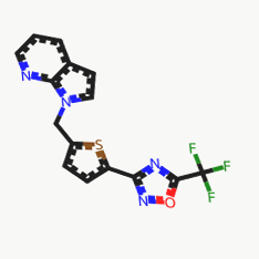 FC(F)(F)c1nc(-c2ccc(Cn3ccc4cccnc43)s2)no1